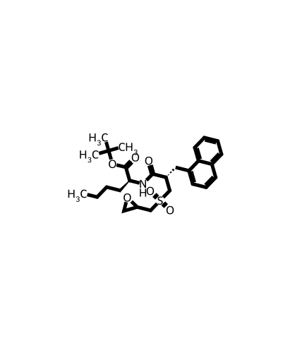 CCCC[C@H](NC(=O)[C@H](Cc1cccc2ccccc12)CS(=O)(=O)CC1CO1)C(=O)OC(C)(C)C